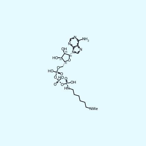 CNCCCCCCNP(=O)(O)OP(=O)(O)OP(=O)(O)OC[C@H]1O[C@@H](n2cnc3c(N)ncnc32)[C@H](O)[C@@H]1O